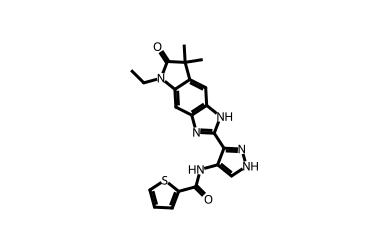 CCN1C(=O)C(C)(C)c2cc3[nH]c(-c4n[nH]cc4NC(=O)c4cccs4)nc3cc21